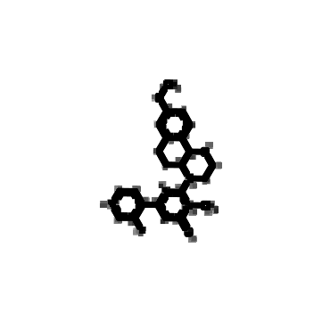 COc1ccc2c(c1)CCC1C2OCCN1c1nc(-c2ccncc2F)cc(=O)n1C